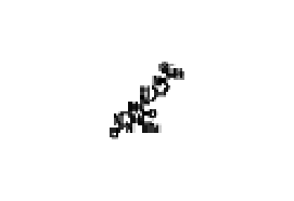 CC[C@H](C)n1c(=O)c(NCc2ccc([S+]([O-])CC)nc2)nc2cnc(Cl)nc21